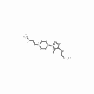 CCOC(=O)C[N-]c1on[n+](N2CCN(CCO[N+](=O)[O-])CC2)c1C